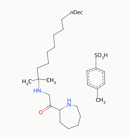 CCCCCCCCCCCCCCCCCC(C)(C)NCC(=O)C1CCCCCN1.Cc1ccc(S(=O)(=O)O)cc1